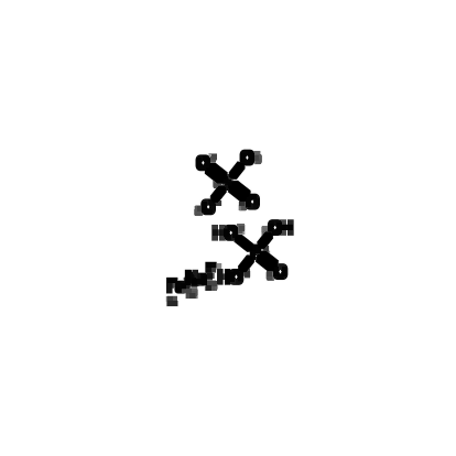 O=P(O)(O)O.O=S(=O)([O-])[O-].[F-].[Fe+2].[Na+]